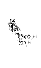 CC(=O)[C@H]1CC[C@H]2[C@@H]3CCC4CC(C(CCCC(=O)O)CCC(=O)O)CC[C@]4(C)[C@H]3CC[C@]12C